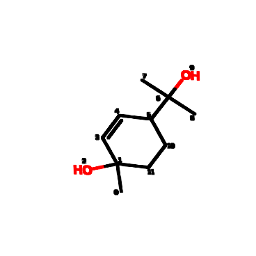 CC1(O)C=CC(C(C)(C)O)CC1